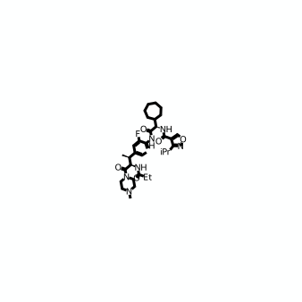 C=C(NC(=O)[C@@H](NC(=O)c1conc1C(C)C)C1CCCCCC1)/C(F)=C\C(=C/C)[C@H](C)[C@@H](NC(=O)CC)C(=O)N1CCN(C)CC1